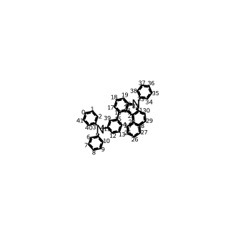 c1ccc(N(c2ccccc2)c2cccc(-c3cccc4c3c3c5ccccc5ccc3n4-c3ccccc3)c2)cc1